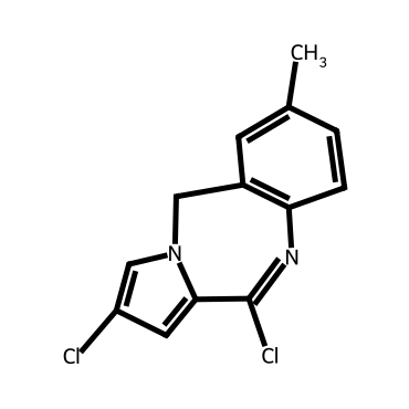 Cc1ccc2c(c1)Cn1cc(Cl)cc1C(Cl)=N2